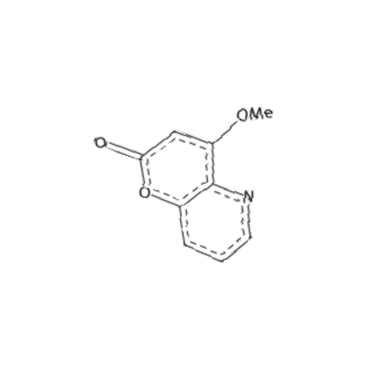 COc1cc(=O)oc2cccnc12